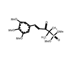 COc1cc(C=CC(=O)C(C)(C)P(=O)(OC)OC)cc(OC)c1OC